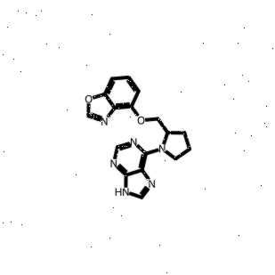 c1cc(OCC2CCCN2c2ncnc3[nH]cnc23)c2ncoc2c1